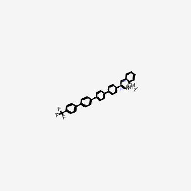 C=c1cccc/c1=C/C(=C\N)c1ccc(-c2ccc(-c3ccc(-c4ccc(C(F)(F)F)cc4)cc3)cc2)cc1